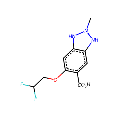 CN1Nc2cc(OCC(F)F)c(C(=O)O)cc2N1